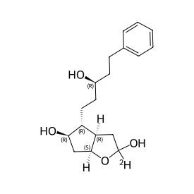 [2H]C1(O)C[C@@H]2[C@@H](CC[C@@H](O)CCc3ccccc3)[C@H](O)C[C@@H]2O1